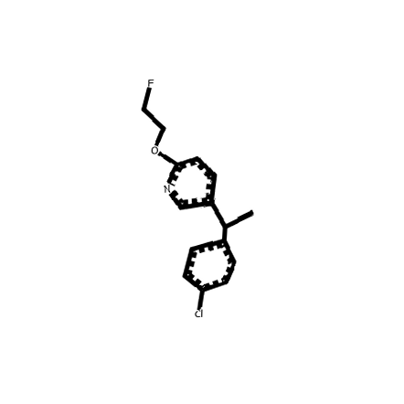 CC(c1ccc(Cl)cc1)c1ccc(OCCF)nc1